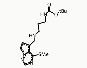 CSc1ncnn2ccc(CNCCCNC(=O)OC(C)(C)C)c12